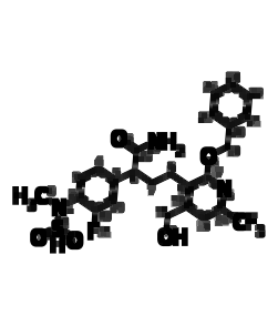 CN(c1ccc(C(CCc2c(CO)cc(C(F)(F)F)nc2OCc2ccccc2)C(N)=O)cc1F)[SH](=O)=O